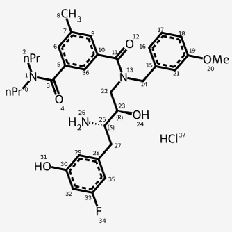 CCCN(CCC)C(=O)c1cc(C)cc(C(=O)N(Cc2cccc(OC)c2)C[C@@H](O)[C@@H](N)Cc2cc(O)cc(F)c2)c1.Cl